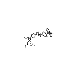 CCCCC(CO)N(CCC)c1ccc(N=Nc2ccc([N+](=O)[O-])cc2)cc1